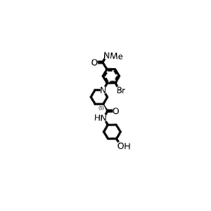 CNC(=O)c1ccc(Br)c(N2CCC[C@H](C(=O)NC3CCC(O)CC3)C2)c1